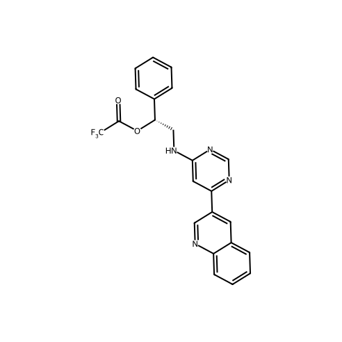 O=C(O[C@@H](CNc1cc(-c2cnc3ccccc3c2)ncn1)c1ccccc1)C(F)(F)F